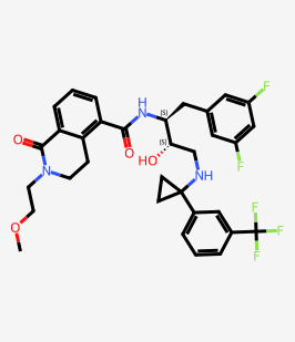 COCCN1CCc2c(C(=O)N[C@@H](Cc3cc(F)cc(F)c3)[C@@H](O)CNC3(c4cccc(C(F)(F)F)c4)CC3)cccc2C1=O